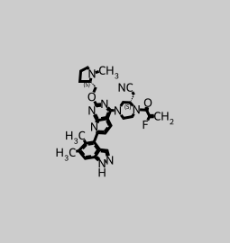 C=C(F)C(=O)N1CCN(c2nc(OC[C@@H]3CCCN3C)nc3nc(-c4c(C)c(C)cc5[nH]ncc45)ccc23)C[C@@H]1CC#N